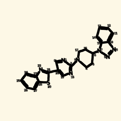 [c]1nc(N2CCC(n3nnc4ccccc43)CC2)ncc1-c1nc2ccccc2s1